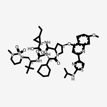 CCC1C[C@]1(NC(=O)C1C[C@@H](Oc2cc(-c3csc(NC(C)C)n3)nc3cc(OC)ccc23)CN1C(=O)[C@@H](NC(=O)N[C@H](CN1CCCN(C)S1(=O)=O)C(C)(C)C)C1CCCCC1)C(=O)O